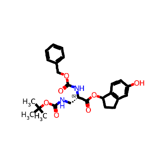 CC(C)(C)OC(=O)NC[C@H](NC(=O)OCc1ccccc1)C(=O)OC1CCc2cc(O)ccc21